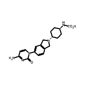 Nc1ccn(-c2ccc3c(c2)CN([C@H]2CC[C@H](NC(=O)O)CC2)C3)c(=O)n1